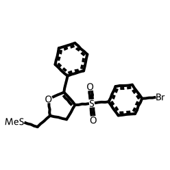 CSCC1CC(S(=O)(=O)c2ccc(Br)cc2)=C(c2ccccc2)O1